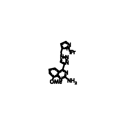 COc1cccc2c(-c3cn(Cc4ccnn4C(C)C)nn3)nc(N)nc12